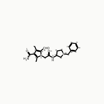 Cc1c(C(N)=O)c(C)n(CC(=O)NC2CCN(Cc3ccccc3)C2)c1C=O